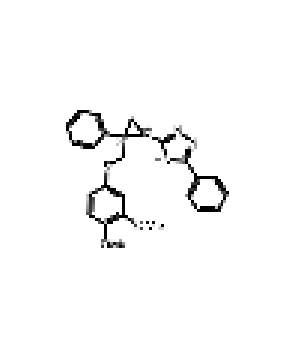 COc1ccc(SC[C@@]2(c3ccccc3)C[C@H]2c2nnc(-c3ccccc3)[nH]2)cc1OC